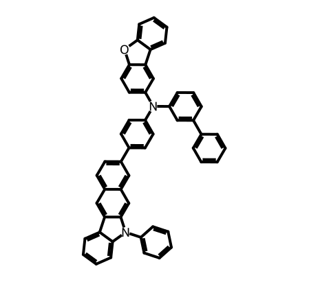 c1ccc(-c2cccc(N(c3ccc(-c4ccc5cc6c7ccccc7n(-c7ccccc7)c6cc5c4)cc3)c3ccc4oc5ccccc5c4c3)c2)cc1